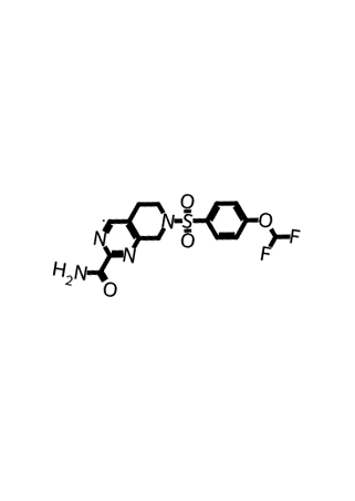 NC(=O)c1n[c]c2c(n1)CN(S(=O)(=O)c1ccc(OC(F)F)cc1)CC2